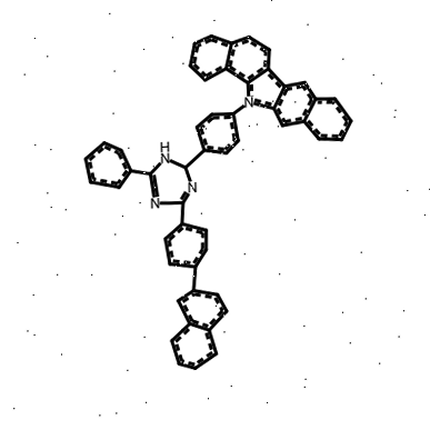 c1ccc(C2=NC(c3ccc(-c4ccc5ccccc5c4)cc3)=NC(c3ccc(-n4c5cc6ccccc6cc5c5ccc6ccccc6c54)cc3)N2)cc1